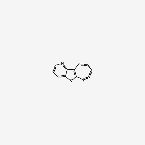 C1=CC=Cc2c(sc3cccnc23)N=1